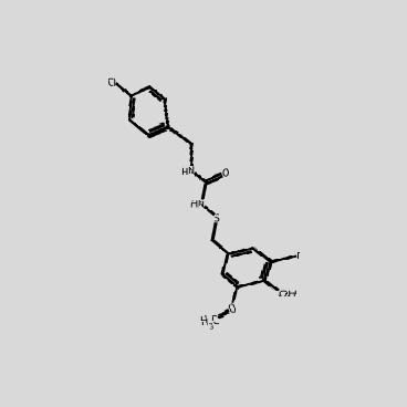 COc1cc(CSNC(=O)NCc2ccc(Cl)cc2)cc(I)c1O